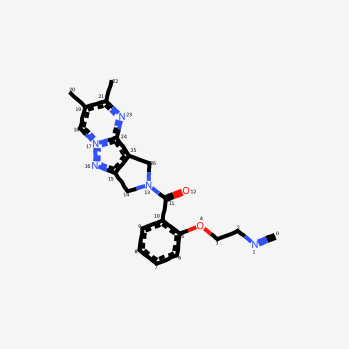 C=NCCOc1ccccc1C(=O)N1Cc2nn3cc(C)c(C)nc3c2C1